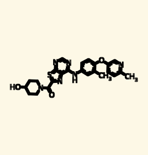 Cc1ccc(Oc2ccc(Nc3ncnc4sc(C(=O)N5CCC(O)CC5)nc34)cc2C)cn1